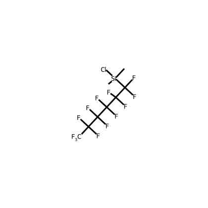 C[Si](C)(Cl)C(F)(F)C(F)(F)C(F)(F)C(F)(F)C(F)(F)C(F)(F)F